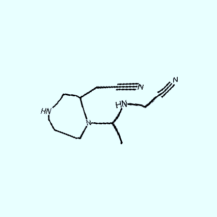 CC(NCC#N)N1CCNCC1CC#N